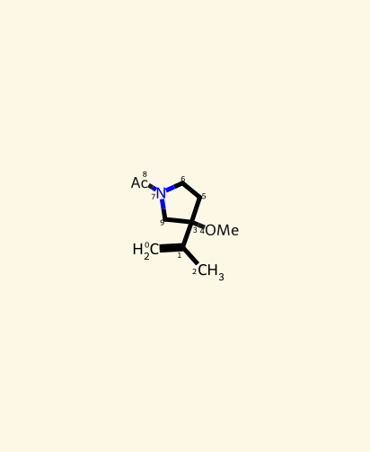 C=C(C)C1(OC)CCN(C(C)=O)C1